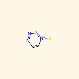 [S-][n+]1ccnnn1